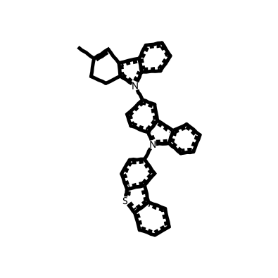 CC1=Cc2c(n(-c3ccc4c(c3)c3ccccc3n4-c3ccc4sc5ccccc5c4c3)c3ccccc23)CC1